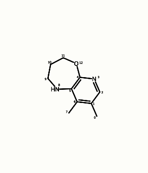 Cc1cnc2c(c1C)NCCCO2